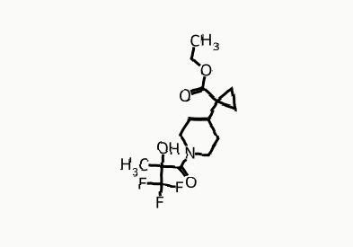 CCOC(=O)C1(C2CCN(C(=O)C(C)(O)C(F)(F)F)CC2)CC1